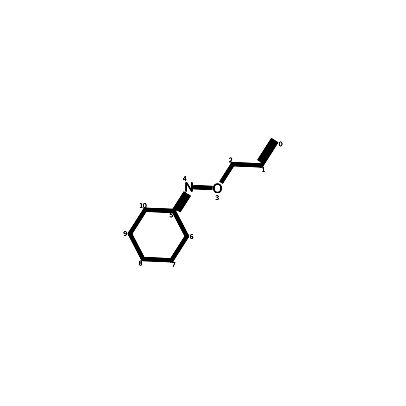 C=CCON=C1CCCCC1